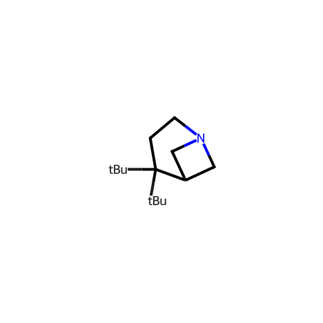 CC(C)(C)C1(C(C)(C)C)CCN2CC1C2